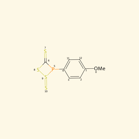 COc1ccc(P2C(=S)SS2=S)cc1